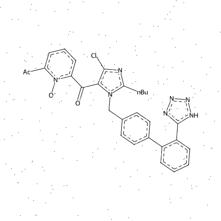 CCCCc1nc(Cl)c(C(=O)c2cccc(C(C)=O)[n+]2[O-])n1Cc1ccc(-c2ccccc2-c2nnn[nH]2)cc1